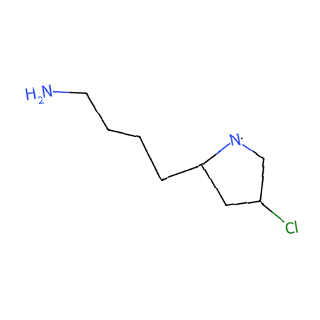 NCCCCC1CC(Cl)C[N]1